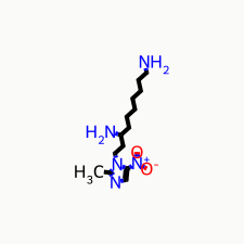 Cc1ncc([N+](=O)[O-])n1CCC(N)CCCCCCCN